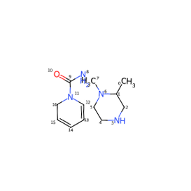 CC1CNCCN1C.NC(=O)N1C=CC=CC1